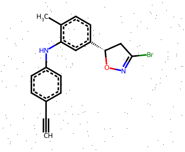 C#Cc1ccc(Nc2cc([C@@H]3CC(Br)=NO3)ccc2C)cc1